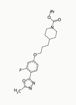 Cc1nnc(-c2ccc(OCCCC3CCN(C(=O)OC(C)C)CC3)cc2F)o1